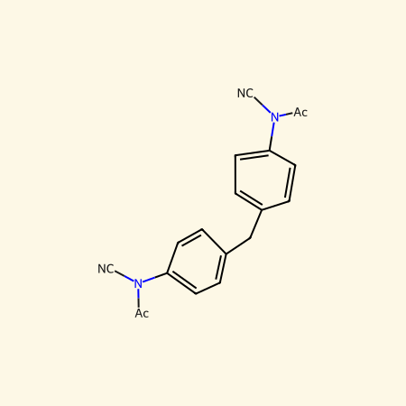 CC(=O)N(C#N)c1ccc(Cc2ccc(N(C#N)C(C)=O)cc2)cc1